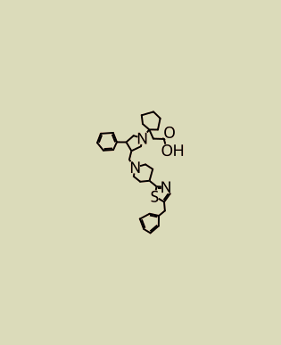 O=C(O)CC1(N2CC(CN3CCC(c4ncc(Cc5ccccc5)s4)CC3)C(c3ccccc3)C2)CCCCC1